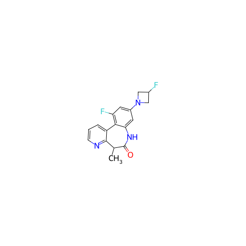 CC1C(=O)Nc2cc(N3CC(F)C3)cc(F)c2-c2cccnc21